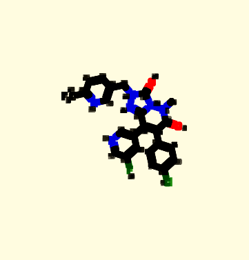 Cn1c(=O)c(-c2ccc(Cl)cc2)c(-c2cncc(F)c2)c2nn(Cc3ccc(C(F)(F)F)nc3)c(=O)n21